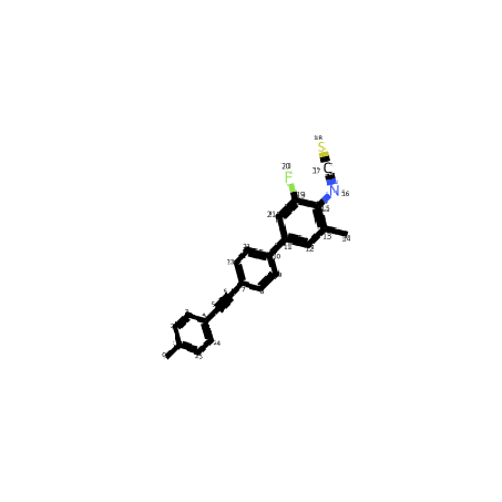 Cc1ccc(C#Cc2ccc(-c3cc(C)c(N=C=S)c(F)c3)cc2)cc1